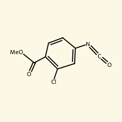 COC(=O)c1ccc(N=C=O)cc1Cl